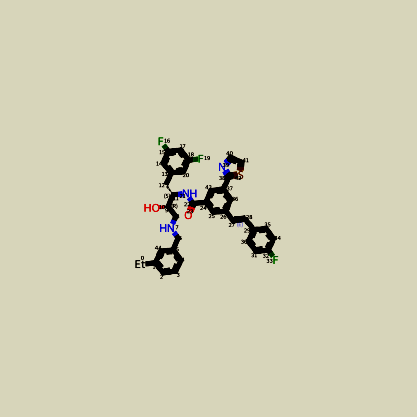 CCc1cccc(CNC[C@@H](O)[C@H](Cc2cc(F)cc(F)c2)NC(=O)c2cc(/C=C/c3ccc(F)cc3)cc(-c3nccs3)c2)c1